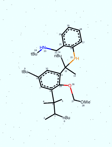 CCCCC(C)C(C)(C)c1cc(C(C)(C)C)cc(C(C)(CCCC)Pc2ccccc2CNC(C)(C)C)c1OCOC